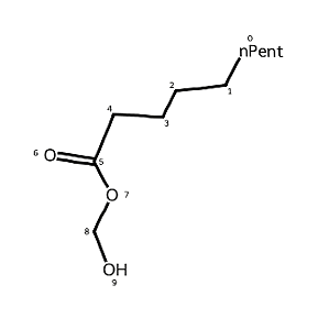 CCCCCCCCCC(=O)OCO